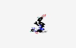 COc1cc(C(=O)N2C[C@H](N)C[C@@H](F)C2)cc2nc(-c3cc4ccc(-c5ccc(O)c(F)c5)cc4n3CC3CC3)n(C)c12